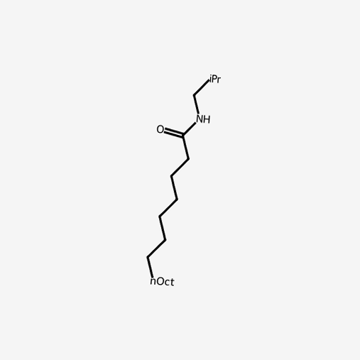 CCCCCCCCCCCCCCC(=O)NCC(C)C